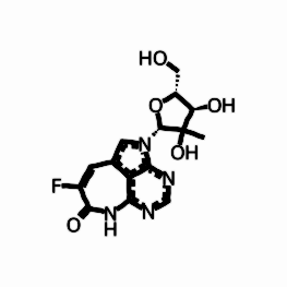 CC1(O)[C@H](O)[C@@H](CO)O[C@H]1n1cc2c3c(ncnc31)NC(=O)C(F)=C2